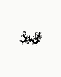 CCc1sc(-c2cccc(C(F)(F)F)n2)nc1C=O